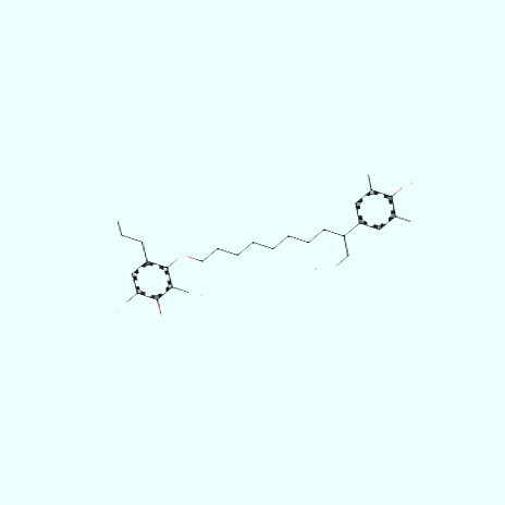 Cc1cc(C(CCCCCCCCOc2c(CCC(=O)O)cc(C)c(O)c2C(C)(C)C)CC(=O)O)cc(C(C)(C)C)c1O